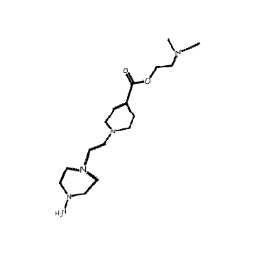 CN(C)CCOC(=O)C1CCN(CCN2CCN(N)CC2)CC1